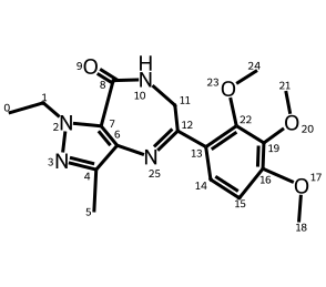 CCn1nc(C)c2c1C(=O)NCC(c1ccc(OC)c(OC)c1OC)=N2